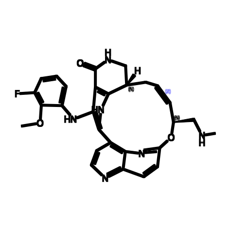 CNC[C@@H]1/C=C\C[C@H]2CNC(=O)c3c2[nH]c(c3Nc2cccc(F)c2OC)-c2ccnc3ccc(nc23)O1